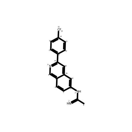 CC(=N)Nc1ccc2cnc(-c3ccc(C(F)(F)F)cc3)cc2c1